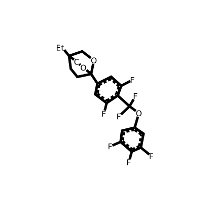 CCC12CCC(c3cc(F)c(C(F)(F)Oc4cc(F)c(F)c(F)c4)c(F)c3)(OC1)OC2